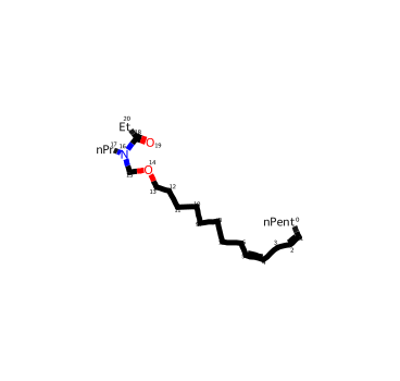 CCCCC/C=C\C/C=C\CCCCCCCCOCN(CCC)C(=O)CC